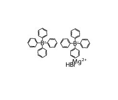 Br.[Mg+2].c1ccc([B-](c2ccccc2)(c2ccccc2)c2ccccc2)cc1.c1ccc([B-](c2ccccc2)(c2ccccc2)c2ccccc2)cc1